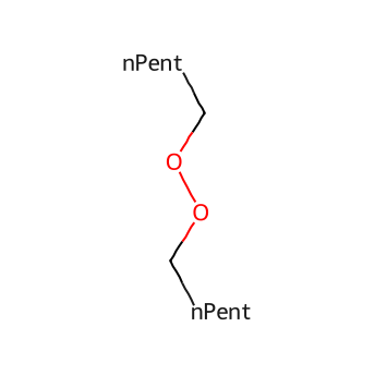 CCCCCCOOCCCCCC